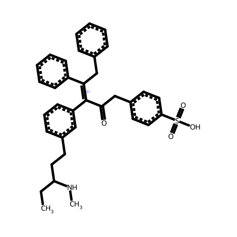 CCC(CCc1cccc(/C(C(=O)Cc2ccc(S(=O)(=O)O)cc2)=C(/Cc2ccccc2)c2ccccc2)c1)NC